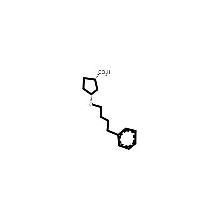 O=C(O)[C@H]1CC[C@@H](OCCCCc2ccccc2)C1